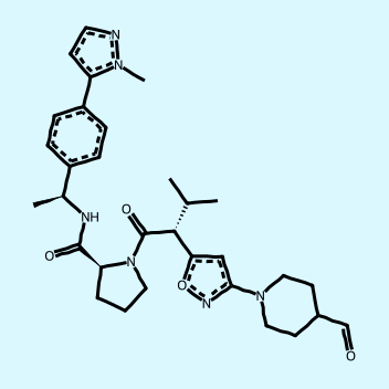 CC(C)[C@@H](C(=O)N1CCC[C@H]1C(=O)N[C@@H](C)c1ccc(-c2ccnn2C)cc1)c1cc(N2CCC(C=O)CC2)no1